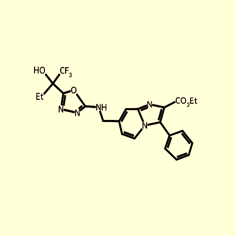 CCOC(=O)c1nc2cc(CNc3nnc(C(O)(CC)C(F)(F)F)o3)ccn2c1-c1ccccc1